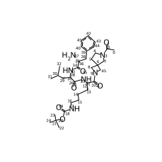 CC(=O)N1CCC2(C1)CN(C(=O)[C@@H](CCCCNC(=O)OC(C)(C)C)NC(=O)[C@@H](CC(C)C)NC(=O)[C@H](N)Cc1ccccc1)C2